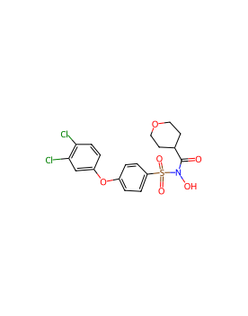 O=C(C1CCOCC1)N(O)S(=O)(=O)c1ccc(Oc2ccc(Cl)c(Cl)c2)cc1